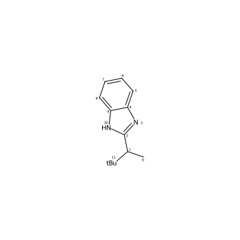 CC(c1nc2ccccc2[nH]1)C(C)(C)C